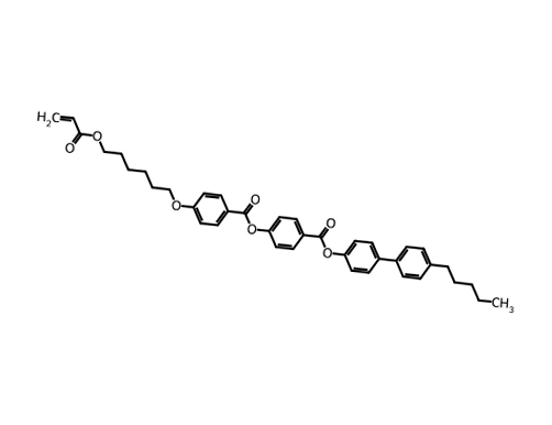 C=CC(=O)OCCCCCCOc1ccc(C(=O)Oc2ccc(C(=O)Oc3ccc(-c4ccc(CCCCC)cc4)cc3)cc2)cc1